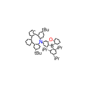 CC(C)c1cc(C(C)C)c(B2c3ccccc3Oc3cc(-n4c5ccc(C(C)(C)C)cc5c5ccccc5c5ccccc5c5cc(C(C)(C)C)ccc54)ccc32)c(C(C)C)c1